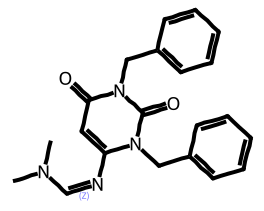 CN(C)/C=N\c1cc(=O)n(Cc2ccccc2)c(=O)n1Cc1ccccc1